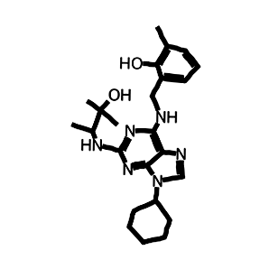 Cc1cccc(CNc2nc(NC(C)C(C)(C)O)nc3c2ncn3C2CCCCC2)c1O